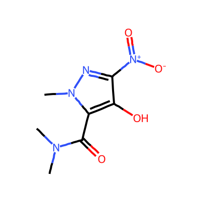 CN(C)C(=O)c1c(O)c([N+](=O)[O-])nn1C